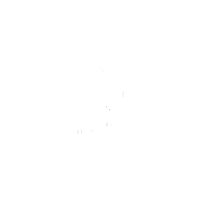 CCCCCCCCC(=CC(C)(C)C)N(CC)CC